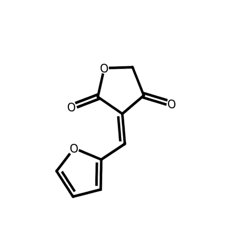 O=C1COC(=O)C1=Cc1ccco1